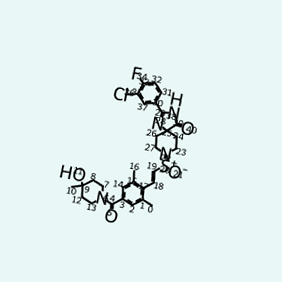 Cc1cc(C(=O)N2CCC(C)(O)CC2)cc(C)c1/C=C/[S+]([O-])N1CCC2(CC1)N=C(c1ccc(F)c(Cl)c1)NC2=O